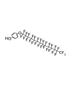 Oc1ccc(OC(F)(F)C(F)(F)C(F)(F)C(F)(F)C(F)(F)C(F)(F)C(F)(F)C(F)(F)C(F)(F)C(F)(F)C(F)(F)C(F)(F)C(F)(F)C(F)(F)F)cc1